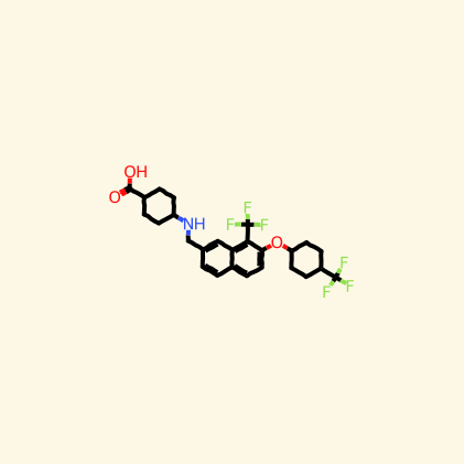 O=C(O)C1CCC(NCc2ccc3ccc(OC4CCC(C(F)(F)F)CC4)c(C(F)(F)F)c3c2)CC1